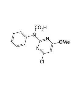 COc1cc(Cl)nc(N(C(=O)O)c2ccccc2)n1